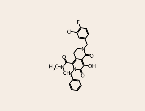 CN(C)C(=O)c1c2c(c(O)c(=O)n1Cc1ccccc1)C(=O)N(Cc1ccc(F)c(Cl)c1)CC2